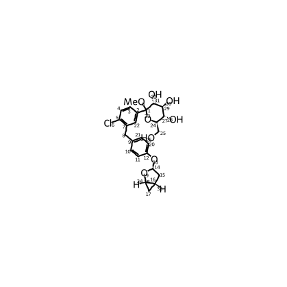 COC1(c2ccc(Cl)c(Cc3ccc(O[C@H]4C[C@@H]5C[C@@H]5O4)cc3)c2)O[C@H](CO)[C@@H](O)[C@H](O)[C@H]1O